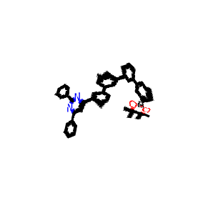 CC1(C)OB(c2cccc(-c3cccc(-c4cccc(-c5cccc(-c6cc(-c7ccccc7)nc(-c7ccccc7)n6)c5)c4)c3)c2)OC1(C)C